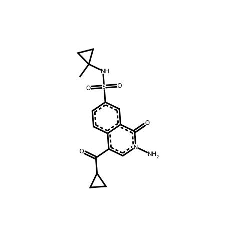 CC1(NS(=O)(=O)c2ccc3c(C(=O)C4CC4)cn(N)c(=O)c3c2)CC1